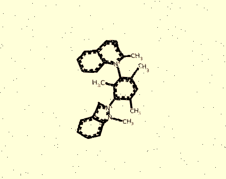 Cc1cc(C)c(-[n+]2cc3ccccc3n2C)c(C)c1-[n+]1c(C)ccc2ccccc21